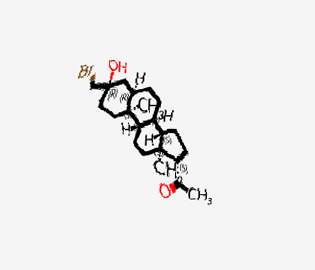 CC(=O)[C@H]1CC[C@H]2[C@@H]3CC[C@@H]4C[C@@](O)(CBr)CC[C@]4(C)[C@H]3CC[C@]12C